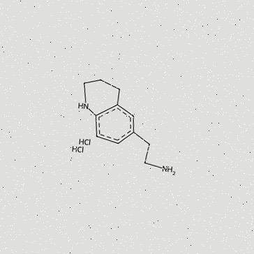 Cl.Cl.NCCc1ccc2c(c1)CCCN2